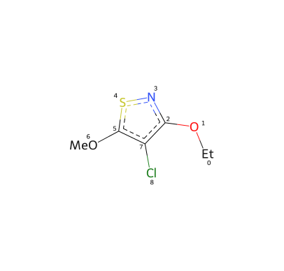 CCOc1nsc(OC)c1Cl